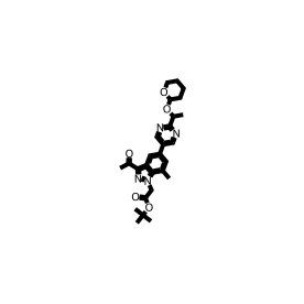 CC(=O)c1nn(CC(=O)OC(C)(C)C)c2c(C)cc(-c3cnc(C(C)OC4CCCCO4)nc3)cc12